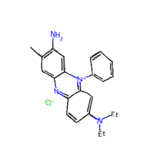 CCN(CC)c1ccc2nc3cc(C)c(N)cc3[n+](-c3ccccc3)c2c1.[Cl-]